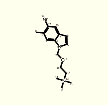 Cc1cc2c(ccn2COCC[Si](C)(C)C)cc1Br